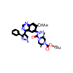 COc1cc2ncnc(-c3cn(C)nc3-c3ccccc3)c2cc1NC(=O)N1C[C@H](C)N(C(=O)OC(C)(C)C)C[C@@H]1C